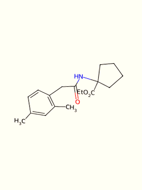 CCOC(=O)C1(NC(=O)Cc2ccc(C)cc2C)CCCC1